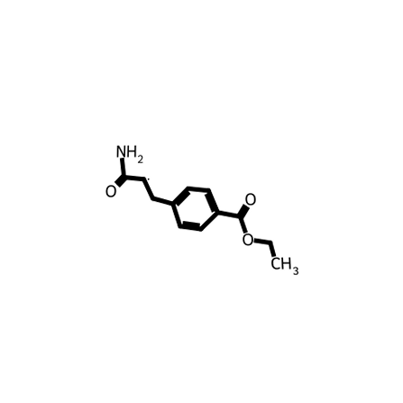 CCOC(=O)c1ccc(C[CH]C(N)=O)cc1